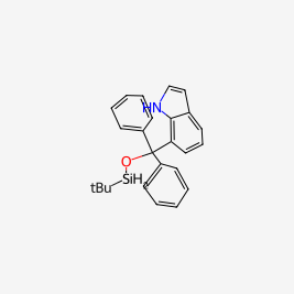 CC(C)(C)[SiH2]OC(c1ccccc1)(c1ccccc1)c1cccc2cc[nH]c12